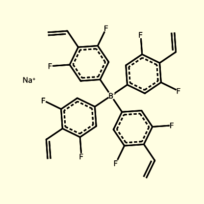 C=Cc1c(F)cc([B-](c2cc(F)c(C=C)c(F)c2)(c2cc(F)c(C=C)c(F)c2)c2cc(F)c(C=C)c(F)c2)cc1F.[Na+]